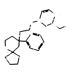 CC(C)C[C@H]1CN(NCCC2(c3ccccn3)CCOC3(CCCC3)C2)C=CN1